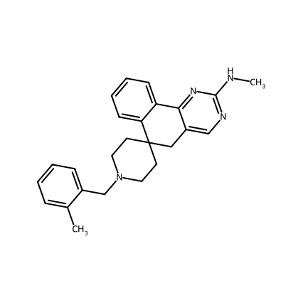 CNc1ncc2c(n1)-c1ccccc1C1(CCN(Cc3ccccc3C)CC1)C2